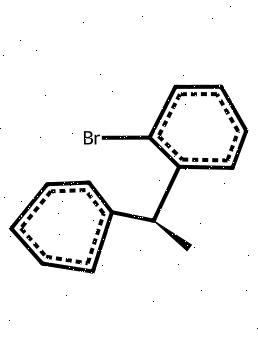 C[C@@H](c1ccccc1)c1ccccc1Br